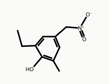 CCc1cc(C[N+](=O)[O-])cc(C)c1O